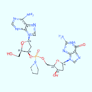 Nc1nc2c(ncn2[C@H]2C[C@@H](O)[C@@H](COP(=O)(O[C@@H]3C[C@H](n4cnc5c(N)ncnc54)O[C@@H]3CO)N3CCCC3)O2)c(=O)[nH]1